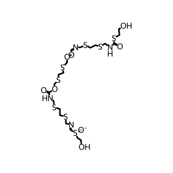 O=C(NCSCCSC/N=C/[S+]([O-])CCO)OCSCCSCOO/C=N\CSCCSCNC(=O)SCCO